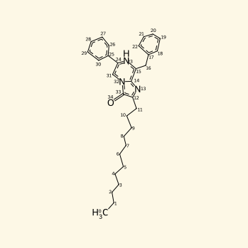 CCCCCCCCCCCCc1nc2c(Cc3ccccc3)[nH]c(-c3ccccc3)cn-2c1=O